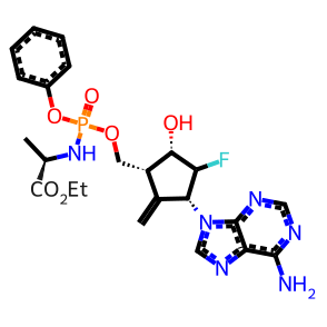 C=C1[C@@H](n2cnc3c(N)ncnc32)C(F)[C@@H](O)[C@H]1COP(=O)(N[C@H](C)C(=O)OCC)Oc1ccccc1